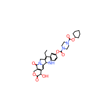 CCC1=C2Cn3c(cc4c(c3=O)COC(=O)C4O)C2Nc2ccc(OC(=O)N3CCN(C(=O)OC4CCCCC4)CC3)cc21